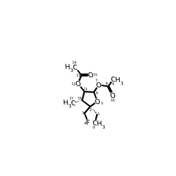 CC[C@@]1(CF)OC(OC(C)=O)C(OC(C)=O)[C@H]1C